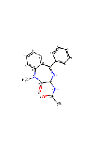 CCCCC(=O)NC1N=C(c2ccccc2)c2ccccc2N(C)C1=O